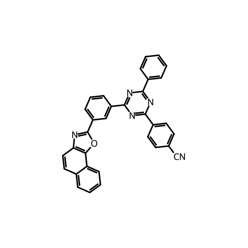 N#Cc1ccc(-c2nc(-c3ccccc3)nc(-c3cccc(-c4nc5ccc6ccccc6c5o4)c3)n2)cc1